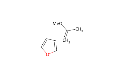 C=C(C)OC.c1ccoc1